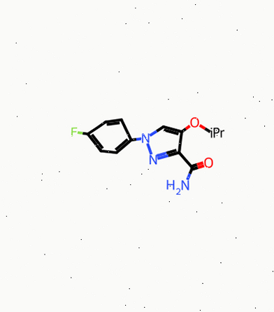 CC(C)Oc1cn(-c2ccc(F)cc2)nc1C(N)=O